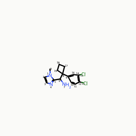 Cn1ccnc1C(N)C1(c2ccc(Cl)c(Cl)c2)CCC1